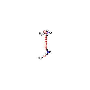 C=CCOCc1ccc(N(c2ccccc2)c2ccc(OCOCOCOCOCOCOc3ccc(N(c4ccccc4)c4ccccc4OC(=O)C=C)cc3)cc2)cc1